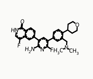 CN(C)Cc1cc(-c2cc(-c3ccc4c(=O)[nH]cc(F)c4c3)c(N)nc2F)ccc1C1CCOCC1